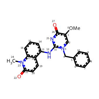 COc1cn(Cc2ccccc2)c(Nc2cccc3c2ccc(=O)n3C)nc1=O